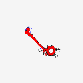 CO[C@H]1C[C@@H]2CC[C@@H](C)[C@@](O)(O2)C(=O)C(=O)N2CCCC[C@H]2C(=O)O[C@H]([C@H](C)C[C@@H]2CC[C@@H](OC(=O)NCCOCCOCCOCCOCCOCCOCCOCCOCCC(=O)N3CCc4cc(Cn5nc(-c6ccc7oc(N)nc7c6)c6c(N)ncnc65)ccc4C3)[C@H](OC)C2)C[C@@H](O)[C@H](C)/C=C(\C)[C@@H](O)[C@@H](O)C(=O)[C@H](C)C[C@H](C)/C=C/C=C/C=C/1C